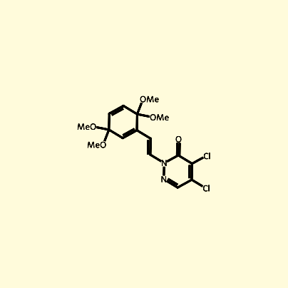 COC1(OC)C=CC(OC)(OC)C(C=Cn2ncc(Cl)c(Cl)c2=O)=C1